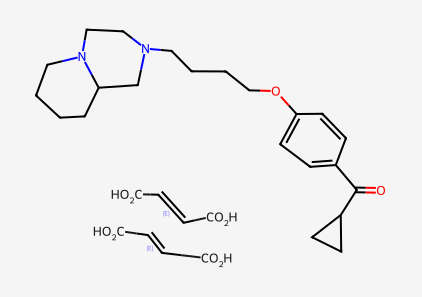 O=C(O)/C=C/C(=O)O.O=C(O)/C=C/C(=O)O.O=C(c1ccc(OCCCCN2CCN3CCCCC3C2)cc1)C1CC1